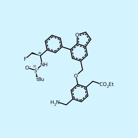 CCOC(=O)Cc1ccc(CN)cc1OCc1cc(-c2cccc([C@H](CF)N[S@+]([O-])C(C)(C)C)c2)c2occc2c1